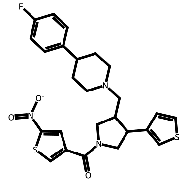 O=C(c1csc([N+](=O)[O-])c1)N1CC(CN2CCC(c3ccc(F)cc3)CC2)C(c2ccsc2)C1